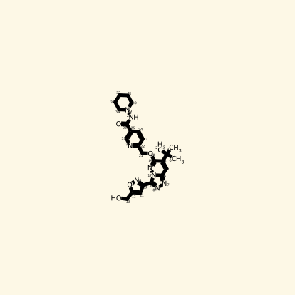 CC(C)(C)c1cc2nnc(-c3cc(CO)on3)n2nc1OCc1ccc(C(=O)NN2CCCCC2)cn1